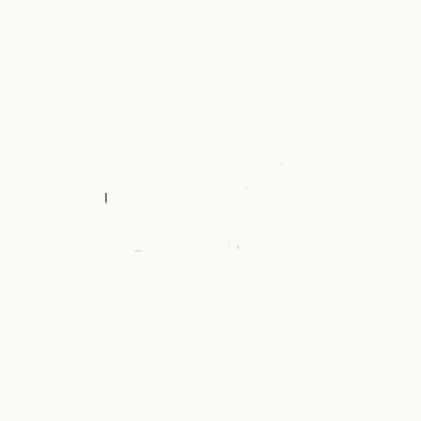 CC(F)(CF)S(=O)(=O)C(C)(F)CF